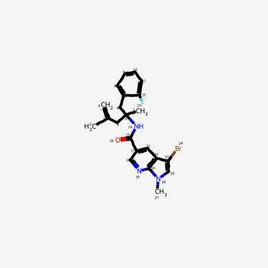 C=C(C)CC(C)(Cc1ccccc1F)NC(=O)c1cnc2c(c1)c(Br)cn2C